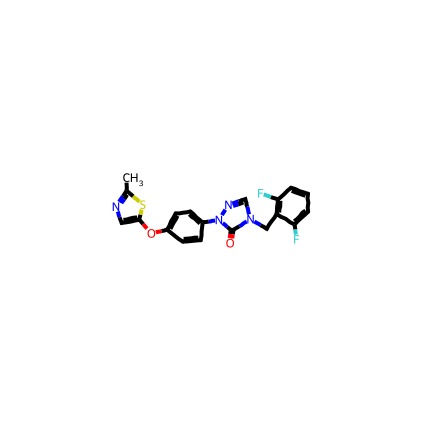 Cc1ncc(Oc2ccc(-n3ncn(Cc4c(F)cccc4F)c3=O)cc2)s1